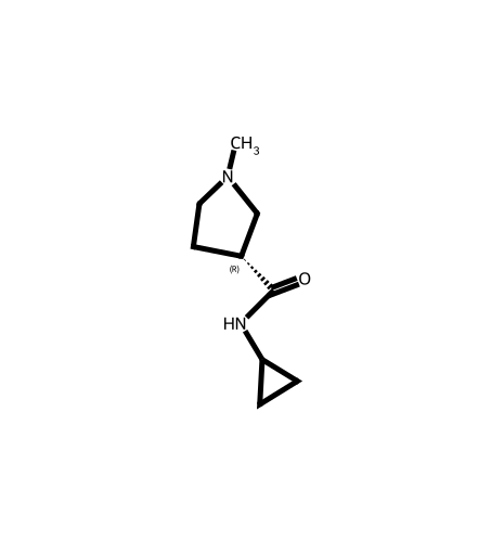 CN1CC[C@@H](C(=O)NC2CC2)C1